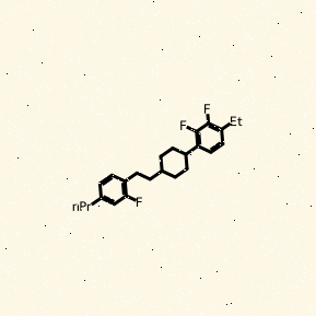 CCCc1ccc(CCC2CCC(c3ccc(CC)c(F)c3F)CC2)c(F)c1